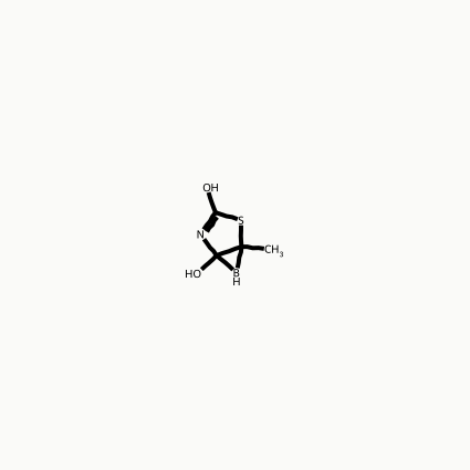 CC12BC1(O)N=C(O)S2